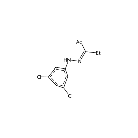 CCC(=NNc1cc(Cl)cc(Cl)c1)C(C)=O